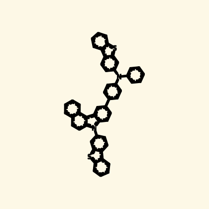 c1ccc(N(c2ccc(-c3ccc4c(c3)c3c5ccccc5ccc3n4-c3ccc4c(c3)sc3ccccc34)cc2)c2ccc3c(c2)sc2ccccc23)cc1